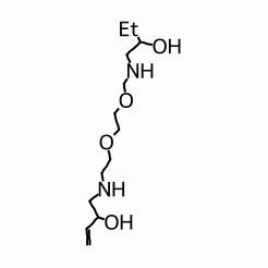 C=CC(O)CNCCOCCOCNCC(O)CC